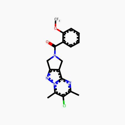 Cc1nc2c3c(nn2c(C)c1Cl)CN(C(=O)c1ccccc1OC(F)(F)F)C3